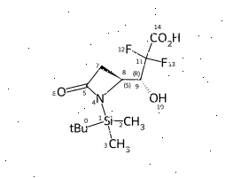 CC(C)(C)[Si](C)(C)N1C(=O)C[C@H]1[C@@H](O)C(F)(F)C(=O)O